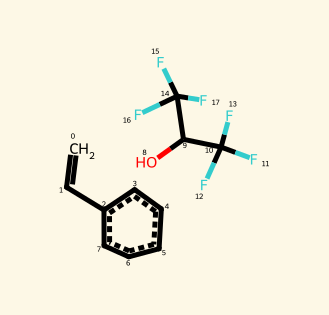 C=Cc1ccccc1.OC(C(F)(F)F)C(F)(F)F